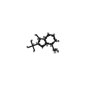 Cn1c(C(C)(C)C)cc2c(N)nccc21